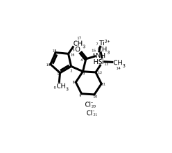 CC1=C(C2(C(=O)[NH][Ti+2])CCCCC2[SiH](C)C)C(C)C=C1.[Cl-].[Cl-]